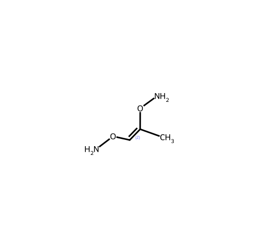 C/C(=C/ON)ON